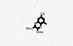 COc1nc2cc(C#N)cc(C)c2nc1OC